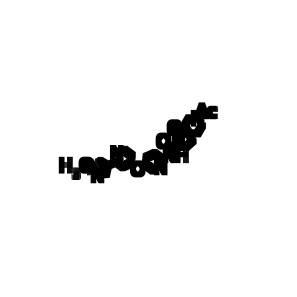 CC(=O)N1CCC2(CC1)CCN(C(=O)Nc1ccc(Oc3ccnc(-c4cnn(C)c4)c3)cn1)C2=O